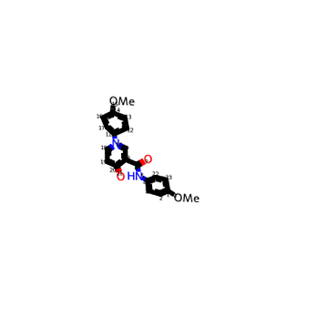 COc1ccc(NC(=O)c2cn(-c3ccc(OC)cc3)ccc2=O)cc1